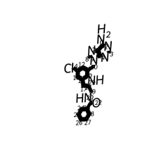 Nc1ncnc2c1ncn2Cc1cc(Cl)cc2cc(CNC(=O)c3ccccc3)[nH]c12